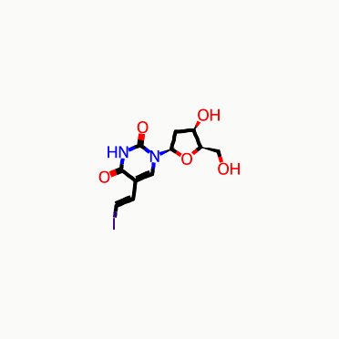 O=c1[nH]c(=O)n([C@H]2C[C@@H](O)[C@@H](CO)O2)cc1/C=C/I